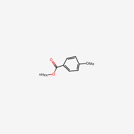 CCCCCCOC(=O)c1ccc(OC)cc1